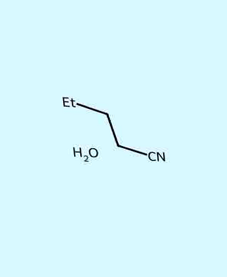 CCCCC#N.O